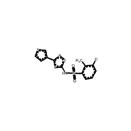 Cc1c(Cl)cccc1S(=O)(=O)Nc1nc(-c2ccsc2)ns1